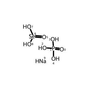 O=P(O)(O)O.O=[Se](O)O.[NaH]